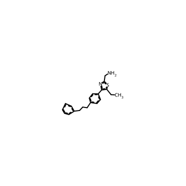 CCc1sc(CN)nc1-c1ccc(CCCc2ccccc2)cc1